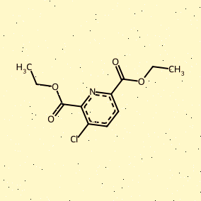 CCOC(=O)c1ccc(Cl)c(C(=O)OCC)n1